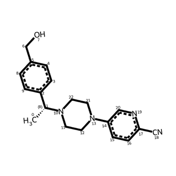 C[C@H](c1ccc(CO)cc1)N1CCN(c2ccc(C#N)nc2)CC1